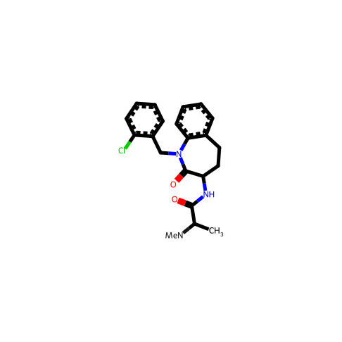 CNC(C)C(=O)NC1CCc2ccccc2N(Cc2ccccc2Cl)C1=O